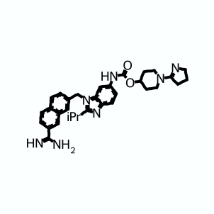 CC(C)c1nc2ccc(NC(=O)OC3CCN(C4=NCCC4)CC3)cc2n1Cc1ccc2ccc(C(=N)N)cc2c1